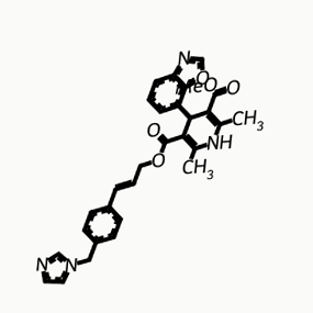 COC(=O)C1=C(C)NC(C)=C(C(=O)OC/C=C/c2ccc(Cn3ccnc3)cc2)C1c1cccc2ncoc12